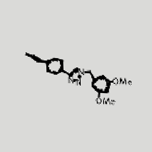 CC#Cc1ccc(-c2cn(Cc3cc(OC)cc(OC)c3)nn2)cc1